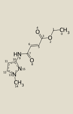 CCOC(=O)/C=C/C(=O)Nc1ccn(C)n1